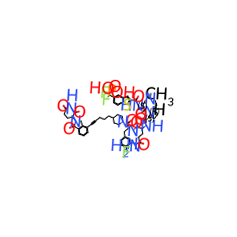 CN1CC[C@H]2CC[C@@H](C(=O)NC(CCC(N)=O)C(=O)NC(Cc3ccc(F)cc3)C(=O)N3CCC(CCCC#Cc4cccc5c4CN(C4CCC(=O)NC4=O)C5=O)CC3)N2C(=O)[C@@H](NC(=O)c2cc3cc(C(F)(F)P(=O)(O)O)ccc3s2)C1